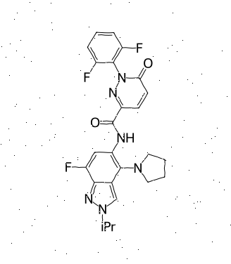 CC(C)n1cc2c(N3CCCC3)c(NC(=O)c3ccc(=O)n(-c4c(F)cccc4F)n3)cc(F)c2n1